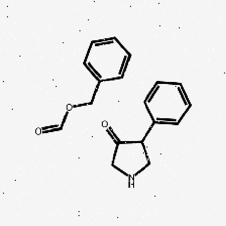 O=C1CNCC1c1ccccc1.O=COCc1ccccc1